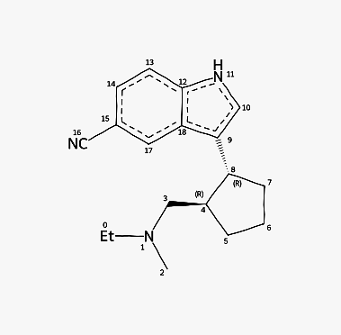 CCN(C)C[C@@H]1CCC[C@H]1c1c[nH]c2ccc(C#N)cc12